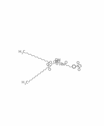 CCCCCCCCCCCCCCCC(=O)OCC(COP(=O)(O)OCCNC(=O)CCCc1ccc(N2C(=O)C=CC2=O)cc1)OC(=O)CCCCCCCCCCCCCCC